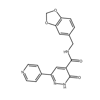 O=C(NCc1ccc2c(c1)OCO2)c1cc(-c2ccncc2)n[nH]c1=O